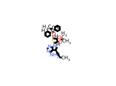 CCC#Cc1cn([C@@H]2S[C@H](CO[Si](c3ccccc3)(c3ccccc3)C(C)(C)C)[C@H]3OC(C)(C)O[C@H]32)c2ncnc(N)c12